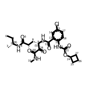 CC[C@@H](C)NC(=O)CC[C@H](NC(=O)c1cc(Cl)ccc1NC(=O)OC1CCC1)C(=O)C(=O)NC